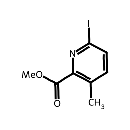 COC(=O)c1nc(I)ccc1C